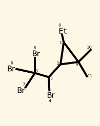 CCC1C(C(Br)C(Br)(Br)Br)C1(C)C